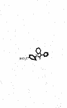 CC1C(c2ccccc2)C2CCCCC2N1c1ccc(C(=O)O)cc1